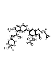 C[C@@H](C1CC1)N1Cc2cc(-c3ccn4nc(N)c(C(O)N[C@H]5CC[C@@](C)(O)CC5)c4n3)cc(NS(C)(=O)=O)c2C1=O